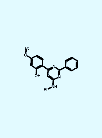 CCNc1cc(-c2ccc(OCC)cc2O)nc(-c2ccccc2)n1